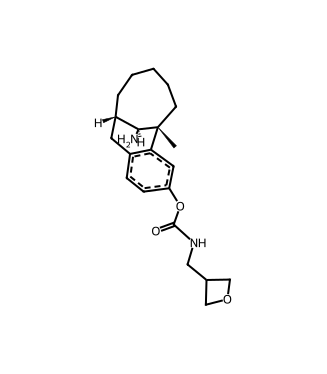 C[C@@]12CCCCC[C@@H](Cc3ccc(OC(=O)NCC4COC4)cc31)[C@@H]2N